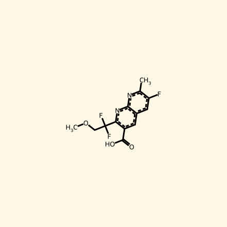 COCC(F)(F)c1nc2nc(C)c(F)cc2cc1C(=O)O